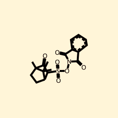 CC12CCC(C(S(=O)(=O)ON3C(=O)c4ccccc4C3=O)C1=O)C2(C)C